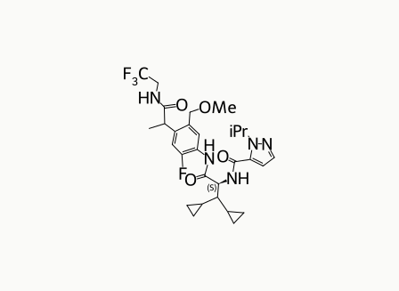 COCc1cc(NC(=O)[C@@H](NC(=O)c2ccnn2C(C)C)C(C2CC2)C2CC2)c(F)cc1C(C)C(=O)NCC(F)(F)F